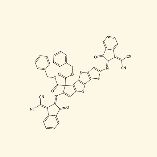 N#CC(C#N)=C1/C(=N/C2=Cc3sc4c(sc5cc(/N=C6\C(=O)c7ccccc7C6=C(C#N)C#N)sc54)c3C2(C(=O)OCc2ccccc2)C(=O)OCc2ccccc2)C(=O)c2ccccc21